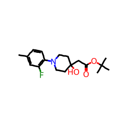 Cc1ccc(N2CCC(O)(CC(=O)OC(C)(C)C)CC2)c(F)c1